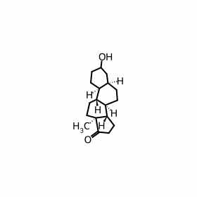 C[C@]12CC[C@H]3[C@@H](CC[C@@H]4CC(O)CC[C@@H]43)[C@@H]1CCC2=O